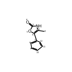 Cc1[nH]c(=O)oc1-c1ccccc1